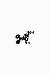 COc1ccc(S(=O)(=O)NCC(=O)O)cc1SP(=O)(OCc1ccccc1)OCc1ccccc1